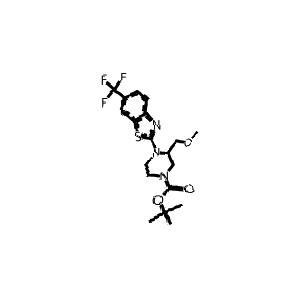 COCC1CN(C(=O)OC(C)(C)C)CCN1c1nc2ccc(C(F)(F)F)cc2s1